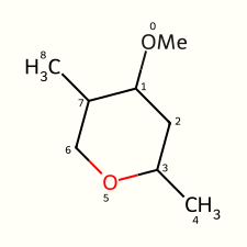 COC1CC(C)OCC1C